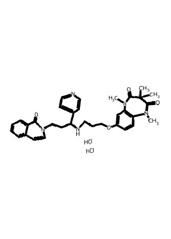 CN1C(=O)C(C)(C)C(=O)N(C)c2cc(OCCCNC(CCn3ccc4ccccc4c3=O)c3ccncc3)ccc21.Cl.Cl